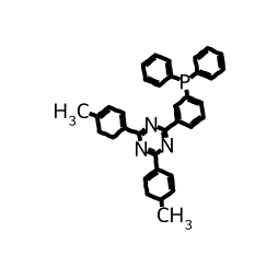 CC1=CC=C(c2nc(C3=CCC(C)C=C3)nc(-c3cccc(P(c4ccccc4)c4ccccc4)c3)n2)CC1